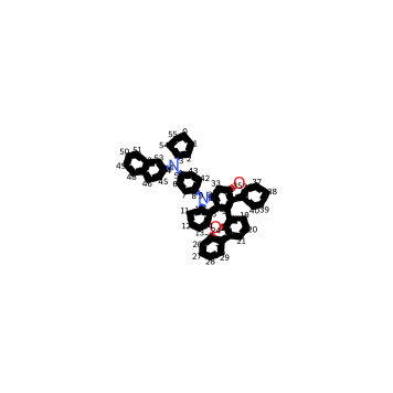 c1ccc(N(c2ccc(-n3c4ccccc4c4c(-c5cccc6c5oc5ccccc56)c5c(cc43)oc3ccccc35)cc2)c2ccc3ccccc3c2)cc1